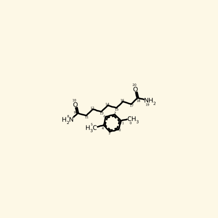 Cc1ccc(C)cc1.NC(=O)CCCCCCCC(N)=O